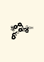 CS(=O)(=O)c1ccc(-c2cccc(Cn3c(CC4(C(=O)O)CCCC4)nc4cc(OCc5ccc6ccccc6n5)ccc43)c2)cc1